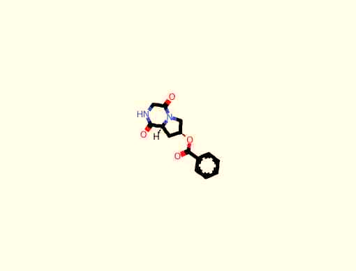 O=C(O[C@@H]1C[C@H]2C(=O)NCC(=O)N2C1)c1ccccc1